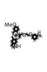 COc1cccc(CN(Cc2ccc3[nH]ncc3c2)c2nc(COCCOc3cccc(N(C)C)c3)co2)c1